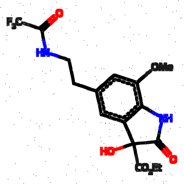 CCOC(=O)C1(O)C(=O)Nc2c(OC)cc(CCNC(=O)C(F)(F)F)cc21